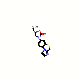 CC(=O)NC[C@H]1CN(c2ccc3c(c2)SCc2nccn2-3)C(=O)O1